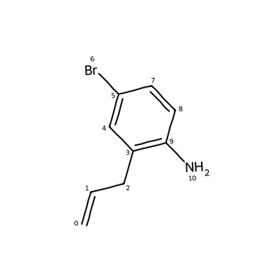 C=CCc1cc(Br)ccc1N